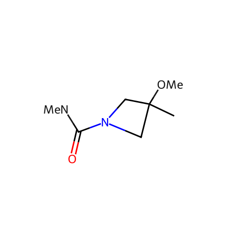 CNC(=O)N1CC(C)(OC)C1